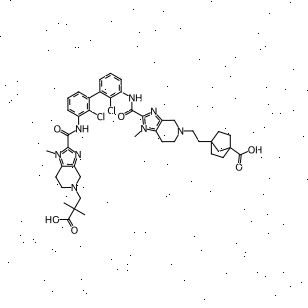 Cn1c(C(=O)Nc2cccc(-c3cccc(NC(=O)c4nc5c(n4C)CCN(CC(C)(C)C(=O)O)C5)c3Cl)c2Cl)nc2c1CCN(CCC13CCC(C(=O)O)(CC1)C3)C2